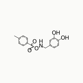 Cc1ccc(S(=O)(=O)ONCc2ccc(O)c(O)c2)cc1